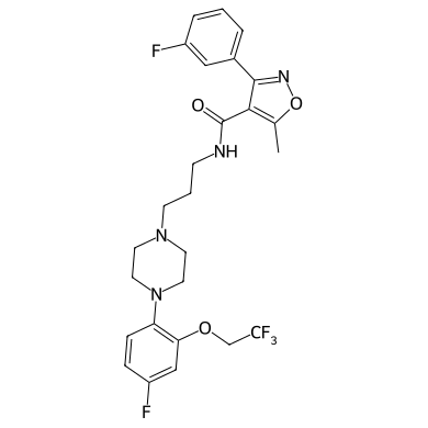 Cc1onc(-c2cccc(F)c2)c1C(=O)NCCCN1CCN(c2ccc(F)cc2OCC(F)(F)F)CC1